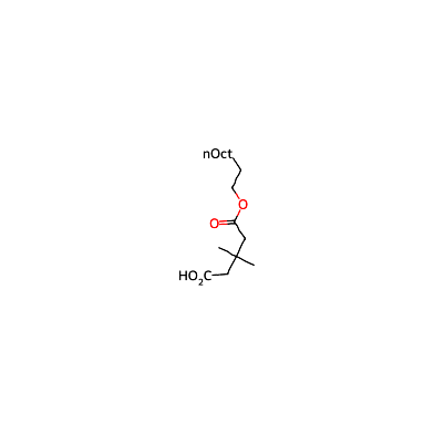 CCCCCCCCCCOC(=O)CC(C)(C)CC(=O)O